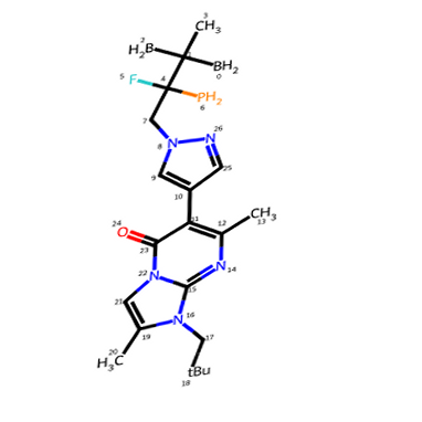 BC(B)(C)C(F)(P)Cn1cc(-c2c(C)nc3n(CC(C)(C)C)c(C)cn3c2=O)cn1